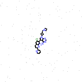 Nc1ncnc2c1c(-c1cc3nc(-c4ccccn4)ccc3cc1Cl)cn2C1CC(CN2CCC2)C1